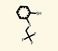 FC(F)(F)CSc1ccccc1S